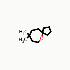 CC1(C)CCOC2(CCCC2)CC1